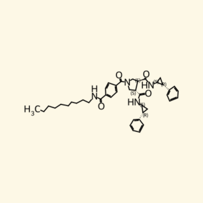 CCCCCCCCCCNC(=O)c1ccc(C(=O)N2C[C@@H](C(=O)N[C@H]3C[C@@H]3c3ccccc3)[C@H](C(=O)N[C@H]3C[C@@H]3c3ccccc3)C2)cc1